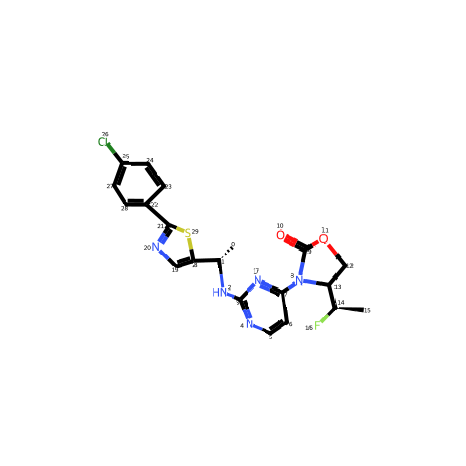 C[C@H](Nc1nccc(N2C(=O)OCC2[C@@H](C)F)n1)c1cnc(-c2ccc(Cl)cc2)s1